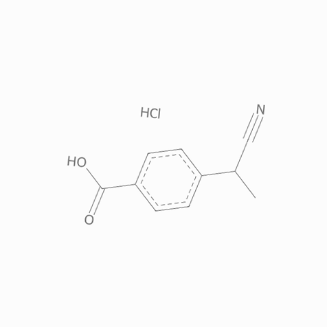 CC(C#N)c1ccc(C(=O)O)cc1.Cl